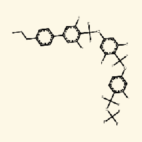 CCCc1ccc(-c2cc(F)c(C(F)(F)Oc3cc(F)c(C(F)(F)Oc4ccc(C(F)(F)OC(F)(F)F)c(F)c4)c(F)c3)c(F)c2)cc1